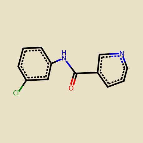 O=C(Nc1cccc(Cl)c1)c1cc[c]nc1